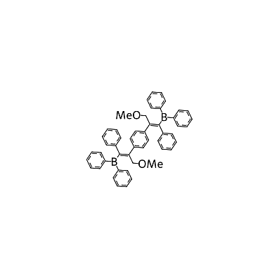 COCC(=C(B(c1ccccc1)c1ccccc1)c1ccccc1)c1ccc(C(COC)=C(B(c2ccccc2)c2ccccc2)c2ccccc2)cc1